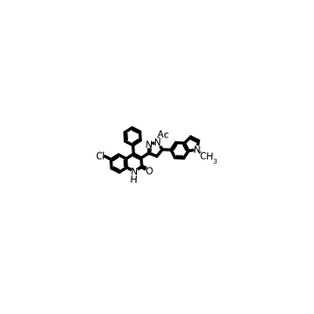 CC(=O)N1N=C(c2c(-c3ccccc3)c3cc(Cl)ccc3[nH]c2=O)CC1c1ccc2c(ccn2C)c1